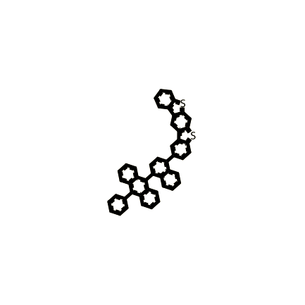 c1ccc(-c2c3ccccc3c(-c3ccc(-c4ccc5sc6cc7sc8ccccc8c7cc6c5c4)c4ccccc34)c3ccccc23)cc1